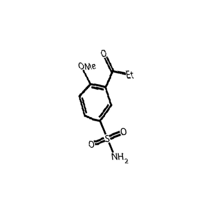 CCC(=O)c1cc(S(N)(=O)=O)ccc1OC